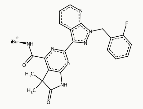 CC[C@H](C)NC(=O)c1nc(-c2nn(Cc3ccccc3F)c3ncccc23)nc2c1C(C)(C)C(=O)N2